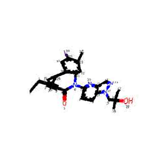 CCC#CC(=O)N(c1ccc2c(cnn2CC(C)(C)O)n1)c1cc(C)c(I)cc1C1CC1